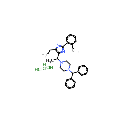 CCc1[nH]c(-c2ccccc2C)nc1C(C)N1CCN(C(c2ccccc2)c2ccccc2)CC1.Cl.Cl.Cl